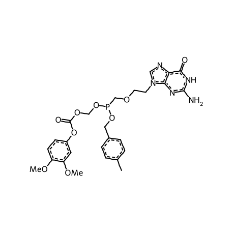 COc1ccc(OC(=O)OCOP(COCCn2cnc3c(=O)[nH]c(N)nc32)OCc2ccc(C)cc2)cc1OC